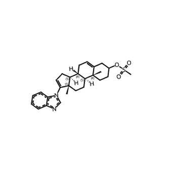 C[C@]12CCC(OS(C)(=O)=O)CC1=CC[C@@H]1[C@@H]2CC[C@]2(C)C(n3cnc4ccccc43)=CC[C@@H]12